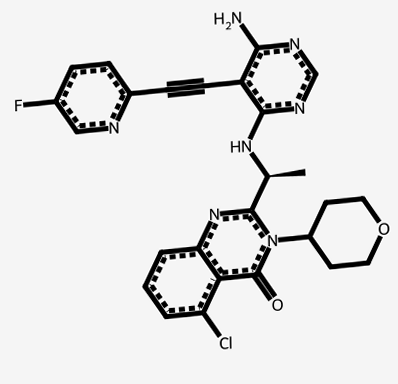 C[C@H](Nc1ncnc(N)c1C#Cc1ccc(F)cn1)c1nc2cccc(Cl)c2c(=O)n1C1CCOCC1